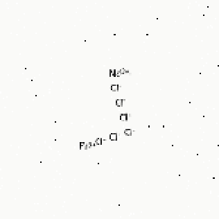 [Cl-].[Cl-].[Cl-].[Cl-].[Cl-].[Cl-].[Nd+3].[Pr+3]